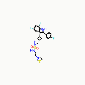 O=S(=O)(NCCN1CCSC1)NC[C@H]1C[C@H](c2c(-c3ccc(F)cc3)[nH]c3c(F)cc(F)cc32)C1